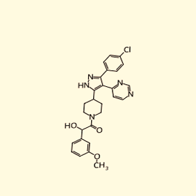 COc1cccc(C(O)C(=O)N2CCC(c3[nH]nc(-c4ccc(Cl)cc4)c3-c3ccncn3)CC2)c1